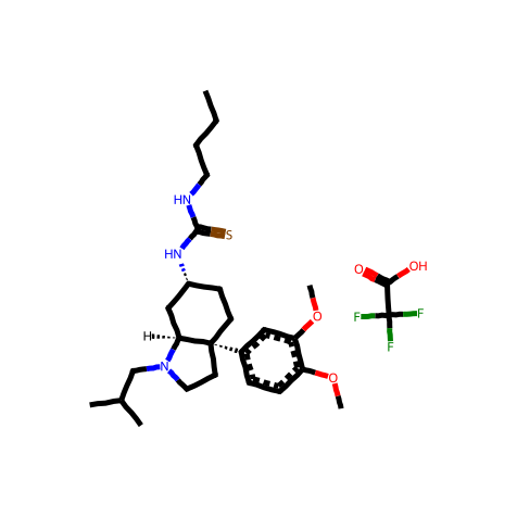 CCCCNC(=S)N[C@@H]1CC[C@@]2(c3ccc(OC)c(OC)c3)CCN(CC(C)C)[C@H]2C1.O=C(O)C(F)(F)F